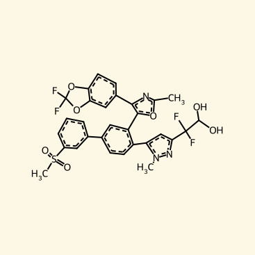 Cc1nc(-c2ccc3c(c2)OC(F)(F)O3)c(-c2cc(-c3cccc(S(C)(=O)=O)c3)ccc2-c2cc(C(F)(F)C(O)O)nn2C)o1